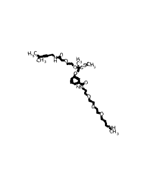 CNCCCOCCOCCOCCNC(=O)c1cccc(OC[C@](C)(OCCOCC(=O)NCC#CC(C)C)SSC)c1